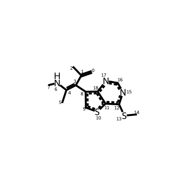 C=C(C)/C(=C(/C)NC)c1csc2c(SC)ncnc12